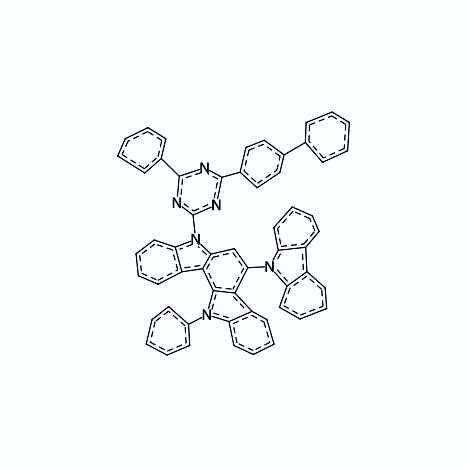 c1ccc(-c2ccc(-c3nc(-c4ccccc4)nc(-n4c5ccccc5c5c4cc(-n4c6ccccc6c6ccccc64)c4c6ccccc6n(-c6ccccc6)c45)n3)cc2)cc1